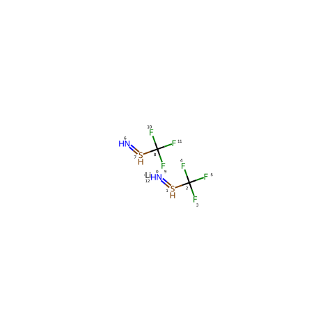 N=[SH]C(F)(F)F.N=[SH]C(F)(F)F.[Li]